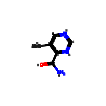 CSc1cncnc1C(N)=O